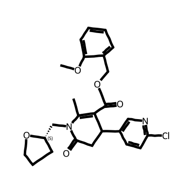 COc1ccccc1COC(=O)C1=C(C)N(C[C@@H]2CCCO2)C(=O)CC1c1ccc(Cl)nc1